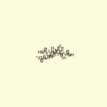 CCOC(=O)N1CCN(C(=O)C(CCC(=O)O)NC(=O)c2cc(N3CCCC(C(=O)O)C3)c3ccccc3n2)CC1